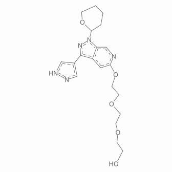 OCCOCCOCCOc1cc2c(-c3cn[nH]c3)nn(C3CCCCO3)c2cn1